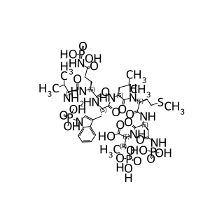 CSCC[C@H](NC(=O)[C@H](CC(C)C)NC(=O)[C@H](Cc1cn(P(=O)(O)O)c2ccccc12)NC(=O)[C@H](CCC(=O)NP(=O)(O)O)NC(=O)[C@@H](N)C(C)C)C(=O)N[C@@H](CC(=O)NP(=O)(O)O)C(=O)N[C@H](C(=O)O)[C@@H](C)OP(=O)(O)O